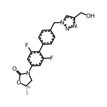 C[C@H]1CN(c2cc(F)c(-c3ccc(Cn4cc(CO)nn4)cc3)c(F)c2)C(=O)O1